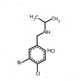 CC(C)NCc1ccc(Cl)c(Br)c1.Cl